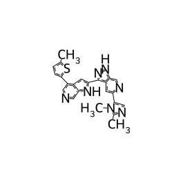 Cc1ccc(-c2cncc3[nH]c(-c4n[nH]c5cnc(-c6cnc(C)n6C)cc45)cc23)s1